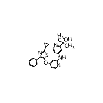 CC(C)(O)c1cc(Nc2cc(Oc3sc(C4CC4)nc3-c3ccccc3)ccn2)ccn1